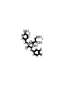 NCC(O)C(=O)N[C@@H](Cc1ccc(F)c(F)c1)C(=O)NCc1ccc(N)nc1